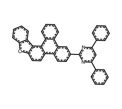 c1ccc(-c2cc(-c3ccccc3)nc(-c3ccc4c(c3)c3ccccc3c3c4ccc4oc5ccccc5c43)n2)cc1